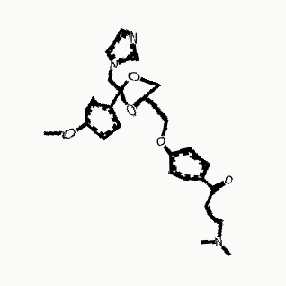 COc1ccc(C2(Cn3ccnc3)OCC(COc3ccc(C(=O)C=CN(C)C)cc3)O2)cc1